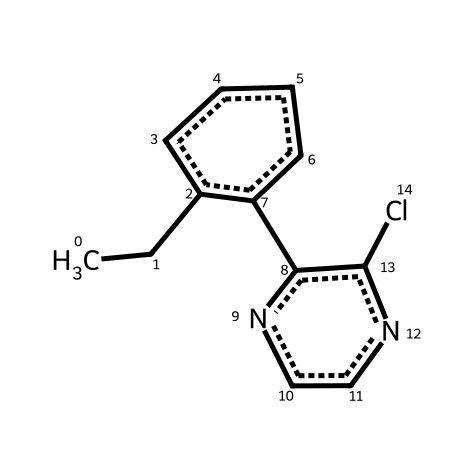 CCc1ccccc1-c1nccnc1Cl